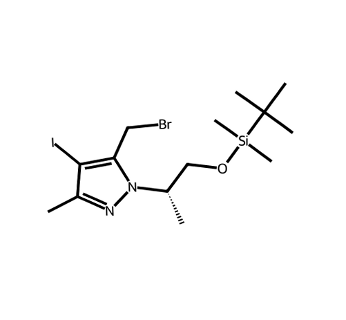 Cc1nn([C@@H](C)CO[Si](C)(C)C(C)(C)C)c(CBr)c1I